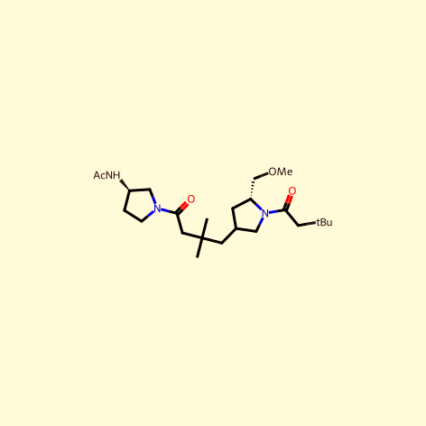 COC[C@H]1CC(CC(C)(C)CC(=O)N2CC[C@@H](NC(C)=O)C2)CN1C(=O)CC(C)(C)C